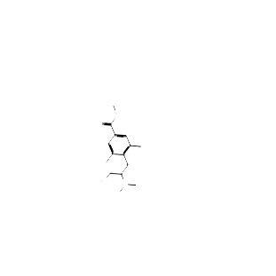 CNC(=O)c1cc(C)c(CC(CN)N(C)C)c(C)c1